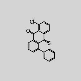 O=C1c2cccc(-c3ccccc3)c2C(=S)c2cccc(Cl)c21